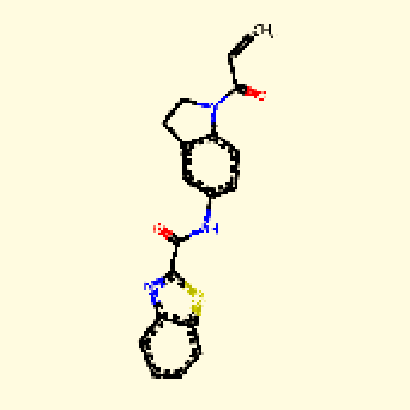 C=CC(=O)N1CCc2cc(NC(=O)c3nc4ccccc4s3)ccc21